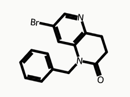 O=C1CCc2ncc(Br)cc2N1Cc1ccccc1